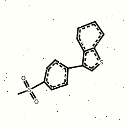 CS(=O)(=O)c1ccc(-c2csc3ccccc23)cc1